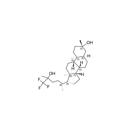 C[C@H](CCC(C)(O)C(F)(F)F)[C@H]1CC[C@H]2[C@H]3CC[C@@H]4C[C@@](C)(O)CC[C@]4(C)[C@H]3CC[C@]12C